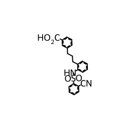 N#Cc1ccccc1S(=O)(=O)Nc1ccccc1CCCc1cccc(C(=O)O)c1